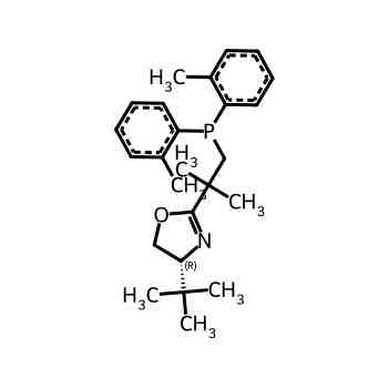 Cc1ccccc1P(CC(C)(C)C1=N[C@H](C(C)(C)C)CO1)c1ccccc1C